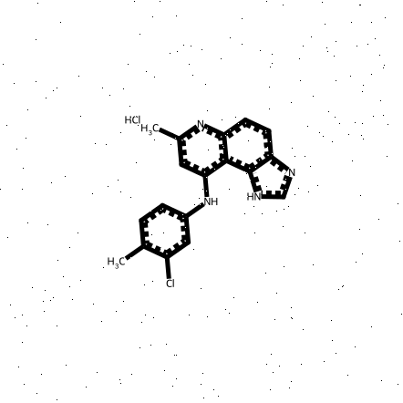 Cc1cc(Nc2ccc(C)c(Cl)c2)c2c(ccc3nc[nH]c32)n1.Cl